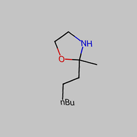 CCCCCCC1(C)NCCO1